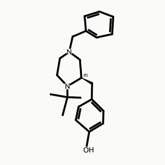 CC(C)(C)N1CCN(Cc2ccccc2)C[C@H]1Cc1ccc(O)cc1